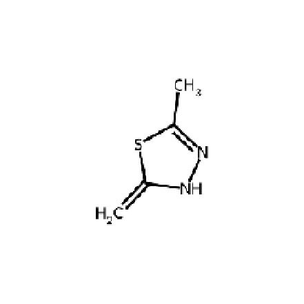 C=C1NN=C(C)S1